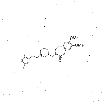 COc1cc2c(cc1OC)CC(=O)N(CC1CCCN(CCc3cc(C)sc3C)C1)CC2